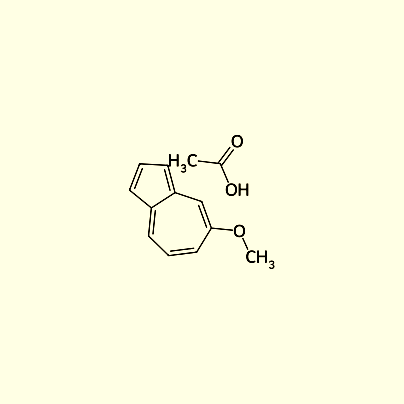 CC(=O)O.COc1cccc2cccc-2c1